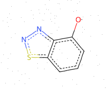 [O]c1cccc2snnc12